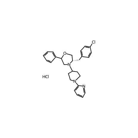 Cl.Clc1ccc(C[C@H]2COC(c3ccccc3)CN2C2CCN(c3ccccn3)CC2)cc1